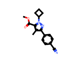 COC(=O)c1c(C)c(-c2ccc(C#N)cc2)nn1C1CCC1